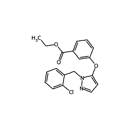 CCOC(=O)c1cccc(Oc2ccnn2Cc2ccccc2Cl)c1